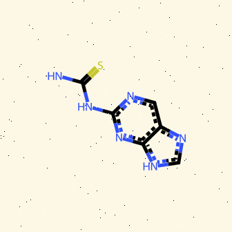 [NH]C(=S)Nc1ncc2nc[nH]c2n1